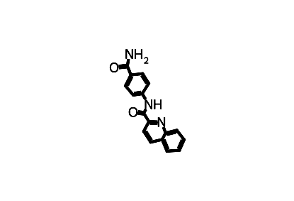 NC(=O)c1ccc(NC(=O)c2ccc3ccccc3n2)cc1